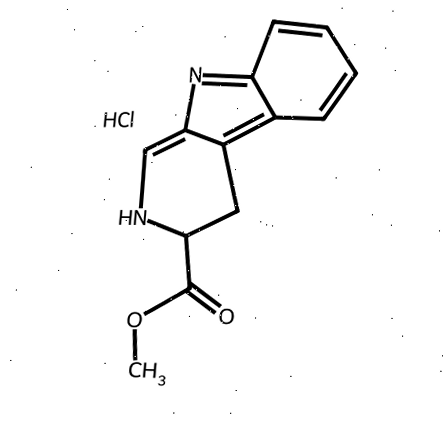 COC(=O)C1CC2=c3ccccc3=NC2=CN1.Cl